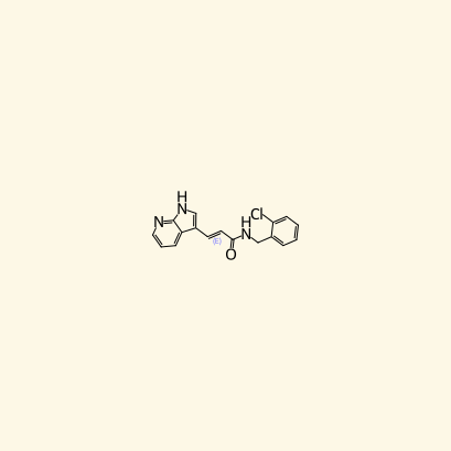 O=C(/C=C/c1c[nH]c2ncccc12)NCc1ccccc1Cl